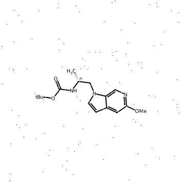 COc1cc2ccn(C[C@@H](C)NC(=O)OC(C)(C)C)c2cn1